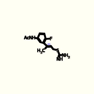 CC(=O)Nc1ccc(F)c(/C(C)=C/CSC(=N)N)c1